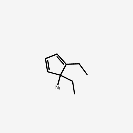 CCC1=CC=C[C]1([Ni])CC